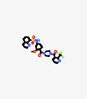 COc1cc(NS(=O)(=O)c2cccc3cccnc23)ccc1C(=O)N1CCN(C(=O)c2cccnc2C(F)(F)F)CC1